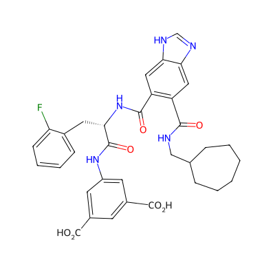 O=C(O)c1cc(NC(=O)[C@H](Cc2ccccc2F)NC(=O)c2cc3[nH]cnc3cc2C(=O)NCC2CCCCCC2)cc(C(=O)O)c1